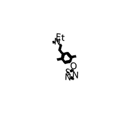 CCN(C)CCc1cc(C)c(Oc2ncns2)cc1C